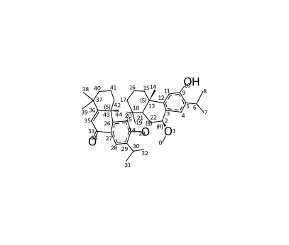 CO[C@@H]1c2cc(C(C)C)c(O)cc2[C@@]2(C)CCCC(C)(C)C2[C@H]1Oc1cc2c(cc1C(C)C)C(=O)C=C1C(C)(C)CCC[C@@]12C